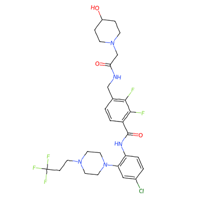 O=C(CN1CCC(O)CC1)NCc1ccc(C(=O)Nc2ccc(Cl)cc2N2CCN(CCC(F)(F)F)CC2)c(F)c1F